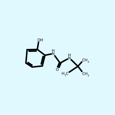 CC(C)(C)NC(=O)Nc1ccccc1O